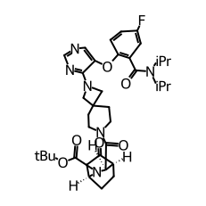 CC(C)N(C(=O)c1cc(F)ccc1Oc1cncnc1N1CC2(CCN(C(=O)[C@H]3[C@@H]4CC[C@@H](CC4=O)N3C(=O)OC(C)(C)C)CC2)C1)C(C)C